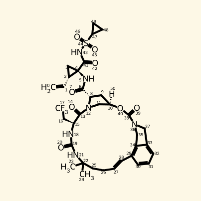 C=C[C@@H]1C[C@]1(NC(=O)[C@@H]1C[C@@H]2CN1C(=O)[C@H](CC(F)(F)F)NC(=O)NC(C)(C)CC/C=C/c1cccc3c1CN(C3)C(=O)O2)C(=O)NS(=O)(=O)C1CC1